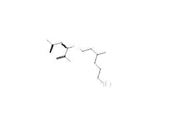 C=C(C)/C=C(/OCCC(C)CCCC(C)C)C(=C)C